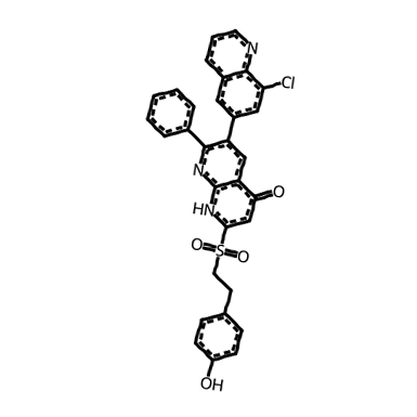 O=c1cc(S(=O)(=O)CCc2ccc(O)cc2)[nH]c2nc(-c3ccccc3)c(-c3cc(Cl)c4ncccc4c3)cc12